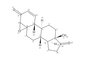 C[C@]12CC[C@H]3[C@@H](CCC45OC4C(=O)C=C[C@H]35)[C@@H]1CCC2=O